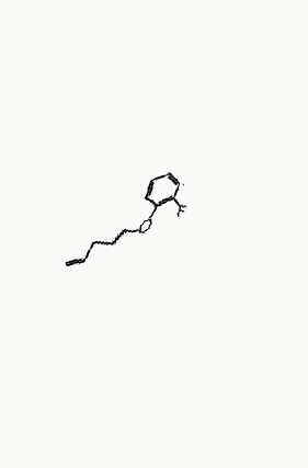 C=CCCCOc1ccc[c]c1F